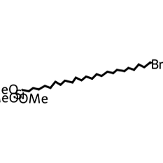 CO[Si](CCCCCCCCCCCCCCCCCCCCCCCCCBr)(OC)OC